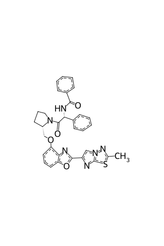 Cc1nn2cc(-c3nc4c(OC[C@@H]5CCCN5C(=O)[C@H](NC(=O)c5ccccc5)c5ccccc5)cccc4o3)nc2s1